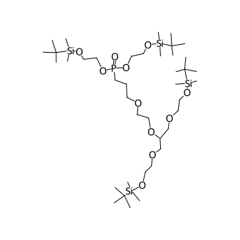 CC(C)(C)[Si](C)(C)OCCOCC(COCCO[Si](C)(C)C(C)(C)C)OCCOCCCP(=O)(OCCO[Si](C)(C)C(C)(C)C)OCCO[Si](C)(C)C(C)(C)C